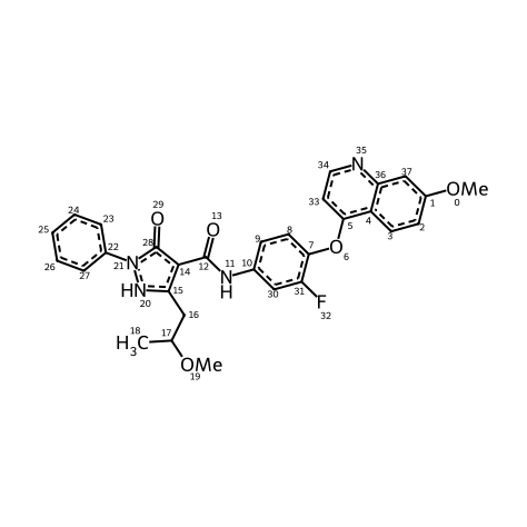 COc1ccc2c(Oc3ccc(NC(=O)c4c(CC(C)OC)[nH]n(-c5ccccc5)c4=O)cc3F)ccnc2c1